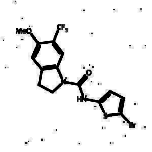 COc1cc2c(cc1C(F)(F)F)N(C(=O)Nc1ccc(Br)s1)CC2